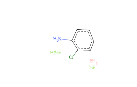 B.F.F.F.Nc1ccccc1Cl